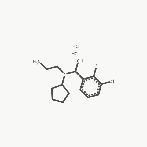 CC(c1cccc(Cl)c1F)N(CCN)C1CCCC1.Cl.Cl